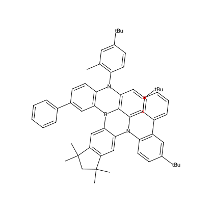 Cc1cc(C(C)(C)C)ccc1N1c2ccc(-c3ccccc3)cc2B2c3cc4c(cc3N(c3ccc(C(C)(C)C)cc3-c3ccccc3)c3cc(C(C)(C)C)cc1c32)C(C)(C)CC4(C)C